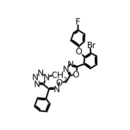 Cn1nnnc1/C(=N\OCc1nnc(-c2cccc(Br)c2Oc2ccc(F)cc2)o1)c1ccccc1